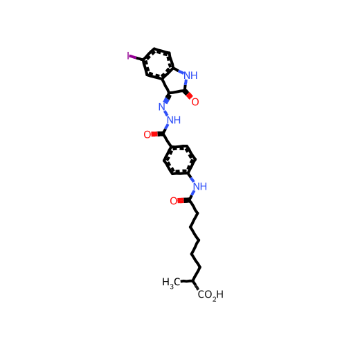 CC(CCCCCC(=O)Nc1ccc(C(=O)NN=C2C(=O)Nc3ccc(I)cc32)cc1)C(=O)O